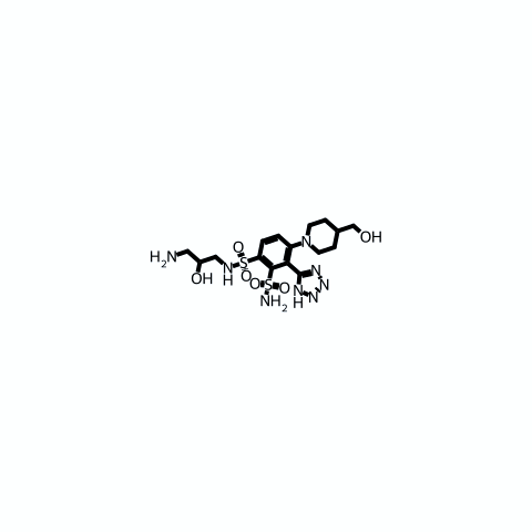 NCC(O)CNS(=O)(=O)c1ccc(N2CCC(CO)CC2)c(-c2nnn[nH]2)c1S(N)(=O)=O